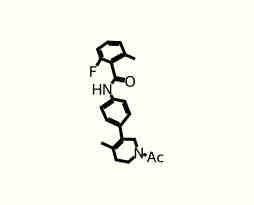 CC(=O)N1CCC(C)=C(c2ccc(NC(=O)c3c(C)cccc3F)cc2)C1